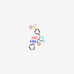 C[S+]([O-])c1ccc(CC(O)(C(=O)Nc2ccccc2)C(F)(F)F)cc1